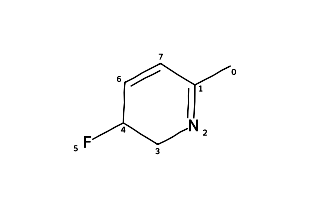 CC1=NCC(F)C=C1